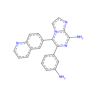 Nc1cccc(-c2nc(N)c3nccn3c2-c2ccc3ncccc3c2)c1